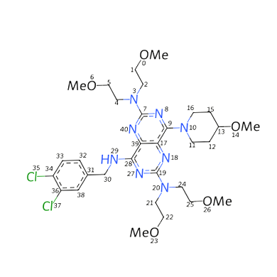 COCCN(CCOC)c1nc(N2CCC(OC)CC2)c2nc(N(CCOC)CCOC)nc(NCc3ccc(Cl)c(Cl)c3)c2n1